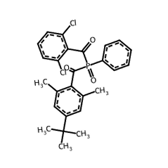 Cc1cc(C(C)(C)C)cc(C)c1C(=O)P(=O)(C(=O)c1c(Cl)cccc1Cl)c1ccccc1